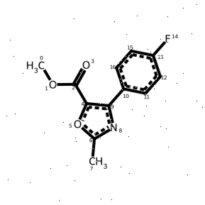 COC(=O)c1oc(C)nc1-c1ccc(F)cc1